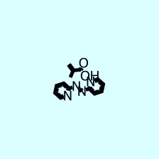 C=C(C)C(=O)O.c1ccc(N=Nc2ccccn2)nc1